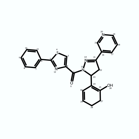 O=C(c1csc(-c2ccccc2)n1)N1N=C(c2cccnc2)CC1C1=C(O)CCC=C1